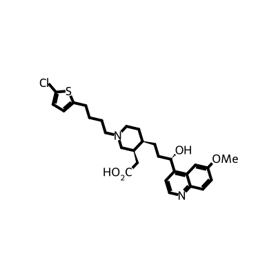 COc1ccc2nccc([C@@H](O)CC[C@@H]3CCN(CCCCc4ccc(Cl)s4)C[C@@H]3CC(=O)O)c2c1